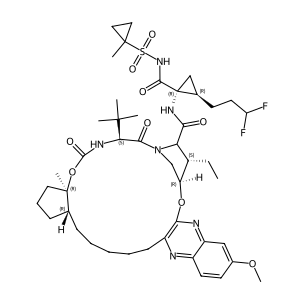 CC[C@H]1C(C(=O)N[C@]2(C(=O)NS(=O)(=O)C3(C)CC3)C[C@H]2CCC(F)F)N2C[C@@H]1Oc1nc3cc(OC)ccc3nc1CCCCC[C@@H]1CCC[C@@]1(C)OC(=O)N[C@@H](C(C)(C)C)C2=O